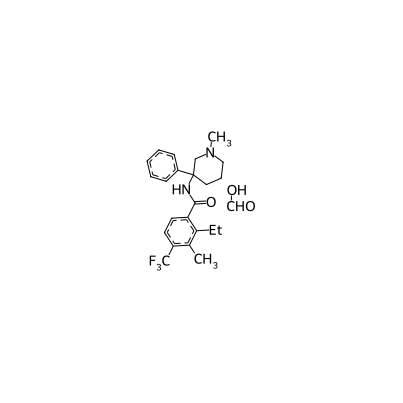 CCc1c(C(=O)NC2(c3ccccc3)CCCN(C)C2)ccc(C(F)(F)F)c1C.O=CO